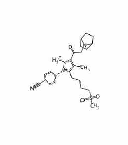 Cc1c(C(=O)CN2C3CCC2CC3)c(C)n(-c2ccc(C#N)cc2)c1CCCCS(C)(=O)=O